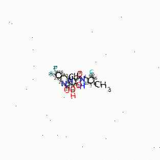 Cc1cc(F)c(CNC(=O)c2cn3c(c(O)c2=O)C(=O)N2Cc4cc(F)c(F)cc4C[C@]3(C)C2)c(F)c1